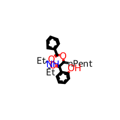 CCCCCC(OC(=O)c1ccccc1)C(=O)c1ccccc1O.CCNCC